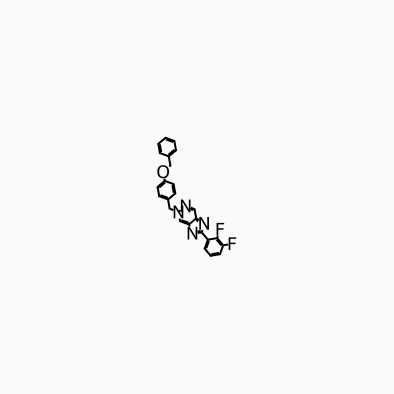 Fc1cccc(-c2nc3cnn(Cc4ccc(OCc5ccccc5)cc4)cc-3n2)c1F